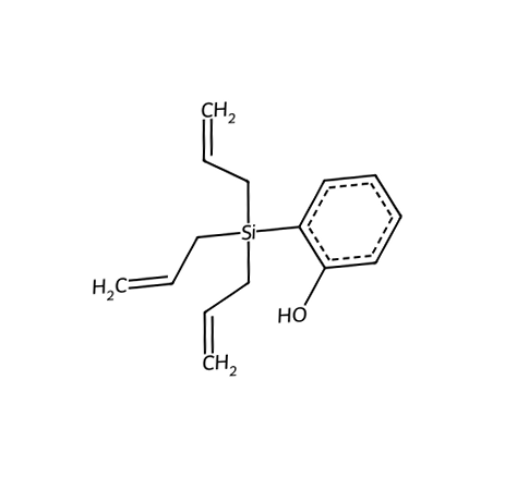 C=CC[Si](CC=C)(CC=C)c1ccccc1O